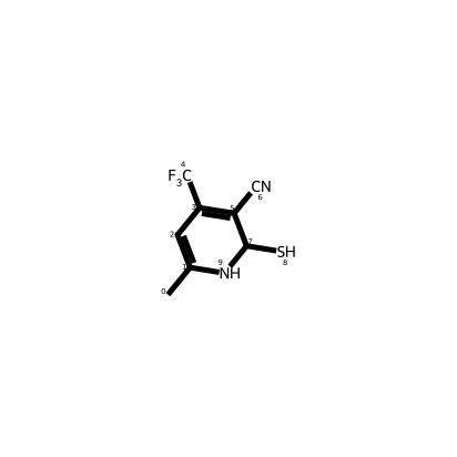 CC1=CC(C(F)(F)F)=C(C#N)C(S)N1